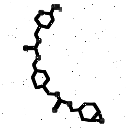 CC1CCC(COC(=O)OCC2CCC(COC(=O)OCC3CCC4OC4C3)CC2)CO1